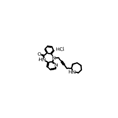 Cl.O=C1Nc2cccnc2N(CC#CCC2CCCCCN2)c2ccccc21